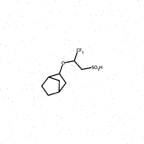 O=S(=O)(O)CC(OC1CC2CCC1C2)C(F)(F)F